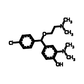 CN(C)CCOC(c1ccc(Cl)cc1)c1ccc(O)c(N(C)C)c1